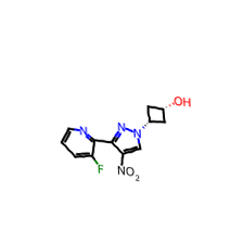 O=[N+]([O-])c1cn([C@H]2C[C@@H](O)C2)nc1-c1ncccc1F